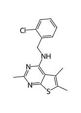 Cc1nc(NCc2ccccc2Cl)c2c(C)c(C)sc2n1